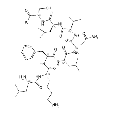 CC(C)C[C@H](NC(=O)[C@H](Cc1ccccc1)NC(=O)[C@H](CCCCN)NC(=O)[C@@H](N)CC(C)C)C(=O)N[C@@H](CC(N)=O)C(=O)N[C@H](C(=O)N[C@@H](CC(C)C)C(=O)N[C@@H](CO)C(=O)O)C(C)C